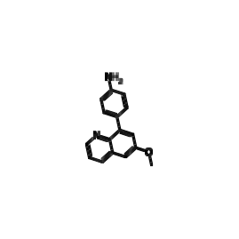 COc1cc(-c2ccc(N)cc2)c2ncccc2c1